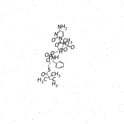 CCC(C)(C)C(=O)SCCOP(=O)(NCc1ccccc1)OCC1O[C@@H](n2ccc(N)nc2=O)[C@]2(C)OC(=O)O[C@H]12